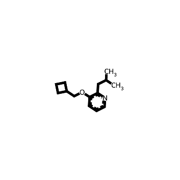 CC(C)Cc1ncccc1OCC1CCC1